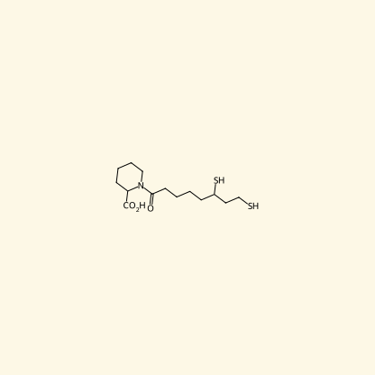 O=C(O)C1CCCCN1C(=O)CCCCC(S)CCS